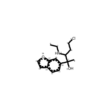 CCNC(CCCl)C(C)(O)c1ccc2ccoc2c1